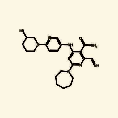 N=Cc1nc(N2CCCCCC2)nc(Nc2ccc(N3CCCC(O)C3)nc2)c1C(N)=O